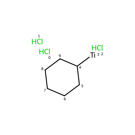 Cl.Cl.Cl.[Ti][CH]1CCCCC1